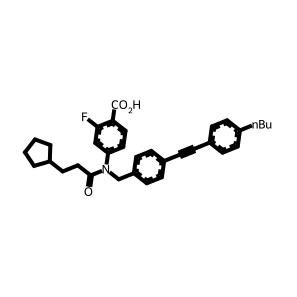 CCCCc1ccc(C#Cc2ccc(CN(C(=O)CCC3CCCC3)c3ccc(C(=O)O)c(F)c3)cc2)cc1